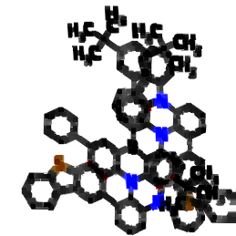 CC(C)(C)c1cc(-c2ccc3c(c2)N(c2c(-c4ccc5sc6ccccc6c5c4)cccc2-n2c4ccccc4c4ccccc42)c2cc(C(C)(C)C)cc4c2B3c2cc(-c3ccccc3)ccc2N4c2c(-c3ccc4sc5ccccc5c4c3)cccc2-n2c3ccccc3c3ccccc32)cc(C(C)(C)C)c1